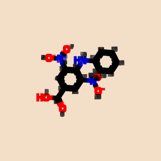 O=C(O)c1cc([N+](=O)[O-])c(Nc2ccccc2)c([N+](=O)[O-])c1